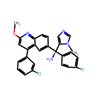 COc1cc(-c2cccc(Cl)c2)c2cc([C@@](N)(c3ccc(Cl)cc3)c3cncn3C)ccc2n1